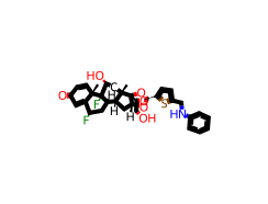 C[C@]12C=CC(=O)C=C1[C@@H](F)C[C@H]1[C@@H]3C[C@H]4O[C@@H](c5ccc(CNc6ccccc6)s5)O[C@@]4(C(=O)CO)[C@@]3(C)C[C@H](O)[C@@]12F